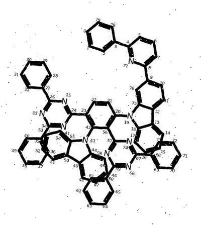 c1ccc(-c2cccc(-c3ccc4c5ccccc5n(-c5ccc(-c6nc(-c7ccccc7)nc(-c7ccccc7)n6)c(-n6c7ccccc7c7ccccc76)c5-c5nc(-c6ccccc6)nc(-c6ccccc6)n5)c4c3)n2)cc1